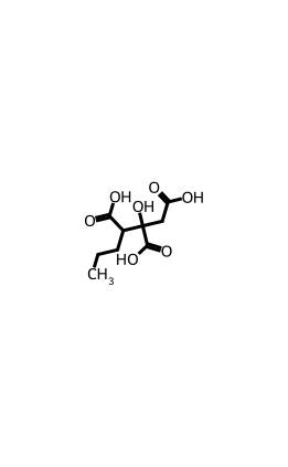 CCCC(C(=O)O)C(O)(CC(=O)O)C(=O)O